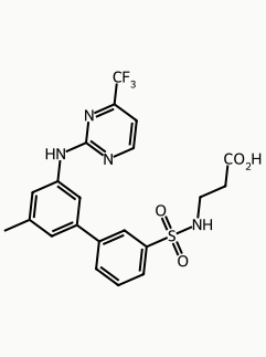 Cc1cc(Nc2nccc(C(F)(F)F)n2)cc(-c2cccc(S(=O)(=O)NCCC(=O)O)c2)c1